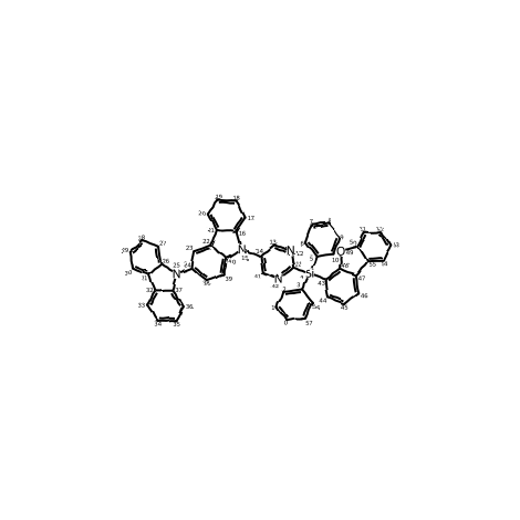 c1ccc([Si](c2ccccc2)(c2ncc(-n3c4ccccc4c4cc(-n5c6ccccc6c6ccccc65)ccc43)cn2)c2cccc3c2oc2ccccc23)cc1